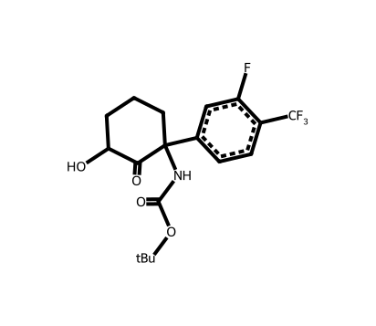 CC(C)(C)OC(=O)NC1(c2ccc(C(F)(F)F)c(F)c2)CCCC(O)C1=O